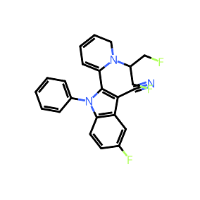 N#Cc1c(C2=CC=CCN2C(CF)CF)n(-c2ccccc2)c2ccc(F)cc12